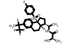 CC(NC(=O)[C@@H](C)O)[C@@H]1CC[C@@]2(S(=O)(=O)c3ccc(F)cc3)c3ccc(C(C)(F)C(F)(F)F)cc3CC[C@@H]12